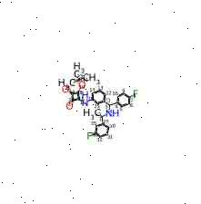 C[C@@H](NC(c1ccc(F)cc1)c1cccc(Nc2c(OC(C)(C)C)c(=O)c2=O)c1)c1cccc(F)c1